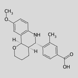 COc1ccc2c(c1)[C@@H]1OCCC[C@@H]1[C@@H](c1ccc(C(=O)O)cc1C)N2